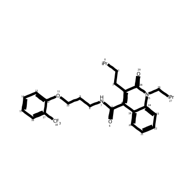 CC(C)CCc1c(C(=O)NCCCOc2ccccc2C(F)(F)F)c2ccccc2n(CC(C)C)c1=O